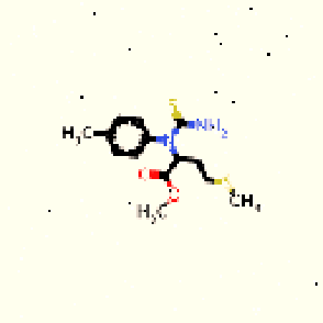 COC(=O)C(CCSC)N(C(N)=S)c1ccc(C)cc1